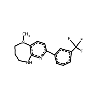 CN1CCCNc2nc(-c3cccc(C(F)(F)F)c3)ccc21